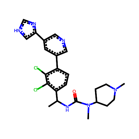 CC(NC(=O)N(C)C1CCN(C)CC1)c1ccc(-c2cncc(-c3c[nH]cn3)c2)c(Cl)c1Cl